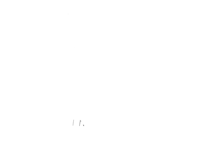 C1=CCC(c2cc3[nH]c4ccccc4c3c3ccccc23)C=C1